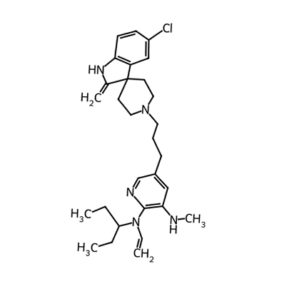 C=CN(c1ncc(CCCN2CCC3(CC2)C(=C)Nc2ccc(Cl)cc23)cc1NC)C(CC)CC